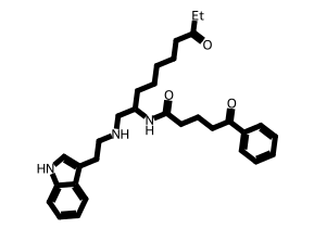 CCC(=O)CCCCCC(CNCCc1c[nH]c2ccccc12)NC(=O)CCCC(=O)c1ccccc1